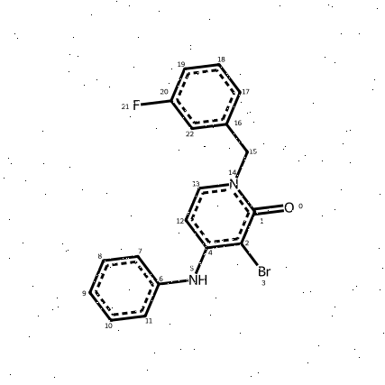 O=c1c(Br)c(Nc2ccccc2)ccn1Cc1cccc(F)c1